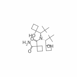 CC(C)(C)[C@@H](N(C(=O)C1(C(N)=O)CCC1)[C@H](C(C)(C)C)C1(O)CCC1)C1(O)CCC1